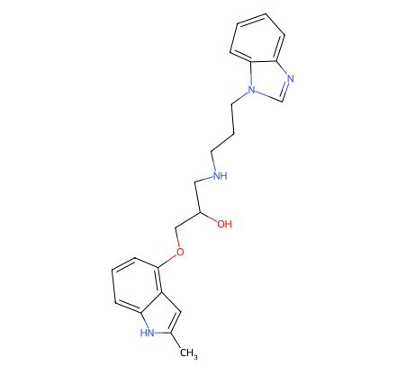 Cc1cc2c(OCC(O)CNCCCn3cnc4ccccc43)cccc2[nH]1